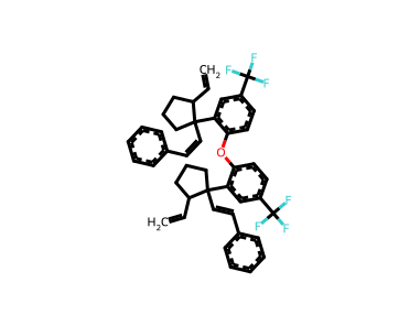 C=CC1CCCC1(C=Cc1ccccc1)c1cc(C(F)(F)F)ccc1Oc1ccc(C(F)(F)F)cc1C1(C=Cc2ccccc2)CCCC1C=C